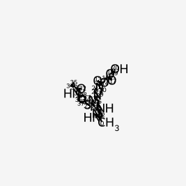 Cc1cc(Nc2cc(N3CCN(C(=O)OCC(=O)OCO)CC3)nc(Sc3ccc(NC(=O)C4CC4)cc3)n2)n[nH]1